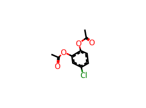 CC(=O)Oc1ccc(Cl)cc1OC(C)=O